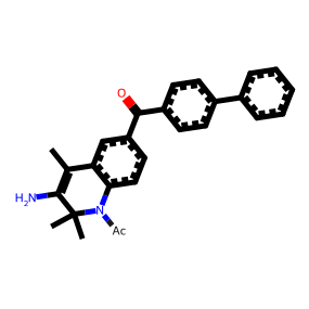 CC(=O)N1c2ccc(C(=O)c3ccc(-c4ccccc4)cc3)cc2C(C)=C(N)C1(C)C